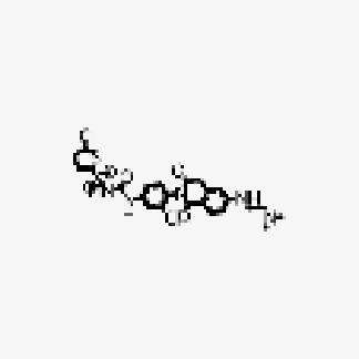 CN(C)CCNc1ccc2c(c1)CC(=O)N(c1ccc(NC(=O)NS(=O)(=O)C3=CCC(Cl)S3)cc1Cl)C2=O